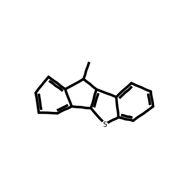 CC1c2ccccc2-c2sc3ccccc3c21